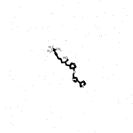 CC(C)(C)C#C/C=C/CC(CO)Cc1cccc(OCc2cc(-c3ccsc3)cs2)c1